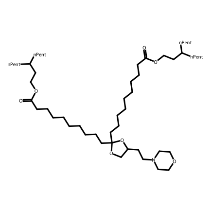 CCCCCC(CCCCC)CCOC(=O)CCCCCCCCCC1(CCCCCCCCCC(=O)OCCC(CCCCC)CCCCC)OCC(CCN2CCOCC2)O1